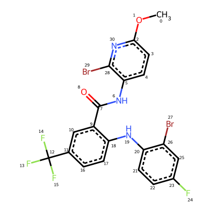 COc1ccc(NC(=O)c2cc(C(F)(F)F)ccc2Nc2ccc(F)cc2Br)c(Br)n1